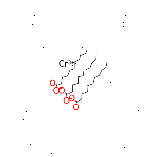 CCCCCCCCCCC(=O)[O-].CCCCCCCCCCC(=O)[O-].CCCCCCCCCCC(=O)[O-].[Cr+3]